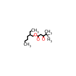 CCCCC(CC)COC(=O)CC(=O)C(C)C